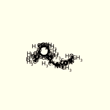 CC[C@H]1OC(=O)[C@H](C)[C@@H](O[C@H]2C[C@@](C)(OC)[C@@H](O)[C@H](C)O2)[C@H](C)[C@@H](O[C@H]2C[C@@H](N(C)CCc3cn([C@H](CF)[C@H](OC)c4ccc(-n5cc(C(C)O)nn5)cc4)nn3)C[C@@H](C)O2)[C@](C)(O)C[C@@H](C)CN(C)[C@H](C)[C@@H](O)[C@]1(C)O